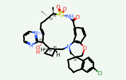 C[C@@H]1[C@@H](C)C/C=C/[C@](O)(c2ncccn2)[C@@H]2CC[C@H]2CN2C[C@@]3(CCCc4cc(Cl)ccc43)COc3ccc(cc32)C(=O)NS1(=O)=O